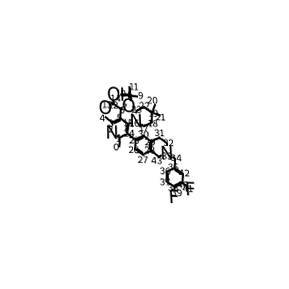 Cc1nc(C)c(C(OC(C)(C)C)C(=O)O)c(N2CCC(C)(C)CC2)c1-c1ccc2c(c1)CCN(Cc1ccc(F)c(F)c1)C2